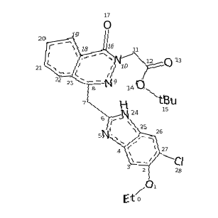 CCOc1cc2nc(Cc3nn(CC(=O)OC(C)(C)C)c(=O)c4ccccc34)[nH]c2cc1Cl